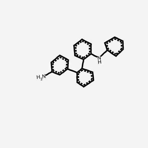 Nc1cccc(-c2ccccc2-c2ccccc2Nc2ccccc2)c1